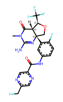 CN1C(=O)[C@@H]2[C@@H](C(F)(F)F)OC[C@]2(c2cc(NC(=O)c3cnc(CF)cn3)ccc2F)N=C1N